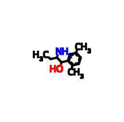 CCC(N)C(O)c1cc(C)ccc1C